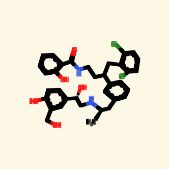 C[C@H](Cc1cccc(C(CCNC(=O)c2ccccc2O)Cc2c(Cl)cccc2Cl)c1)NC[C@@H](O)c1ccc(O)c(CO)c1